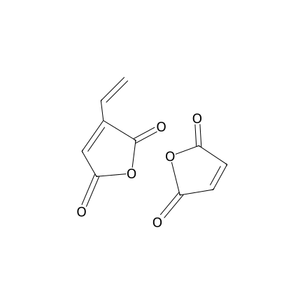 C=CC1=CC(=O)OC1=O.O=C1C=CC(=O)O1